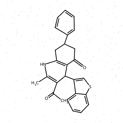 CC(=O)C1=C(C)NC2=C(C(=O)CC(c3ccccc3)C2)C1c1csc2ccccc12